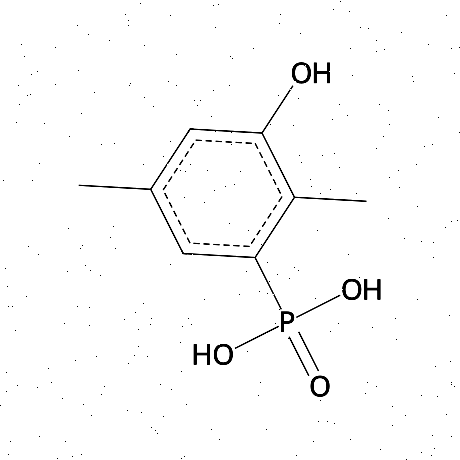 Cc1cc(O)c(C)c(P(=O)(O)O)c1